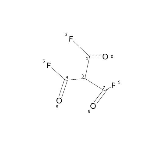 O=C(F)C(C(=O)F)C(=O)F